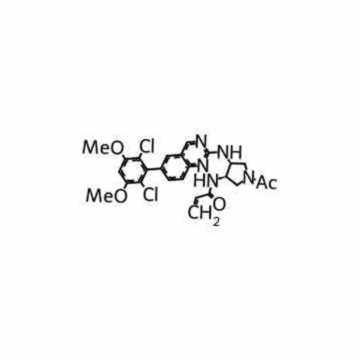 C=CC(=O)N[C@@H]1CN(C(C)=O)C[C@@H]1Nc1ncc2cc(-c3c(Cl)c(OC)cc(OC)c3Cl)ccc2n1